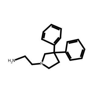 NCCN1CCC(c2ccccc2)(c2ccccc2)C1